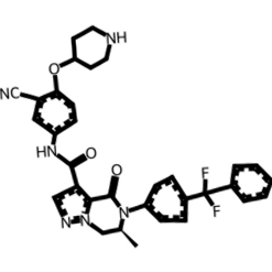 C[C@H]1Cn2ncc(C(=O)Nc3ccc(OC4CCNCC4)c(C#N)c3)c2C(=O)N1c1ccc(C(F)(F)c2ccccc2)cc1